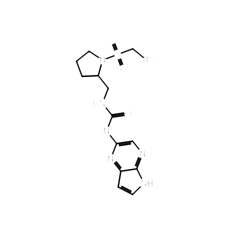 CC(C)CS(=O)(=O)N1CCCC1CNC(=O)Nc1cnc2[nH]ccc2n1